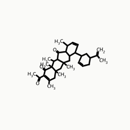 C=C(C)C1CC=CC(C2C=CC(C)C3C(=O)C4C(C)C5(C)C(=O)C(C(C)=O)=C(C)CC5(C)CC4(C)CC23)C1